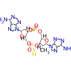 C[C@@H]1[C@@H]2O[P@](=O)(S)OC[C@H]3O[C@@H](n4cnc5c(N)ncnc54)C[C@@H]3O[PH](=O)OC[C@H]2O[C@H]1n1cnc2c(N)ncnc21